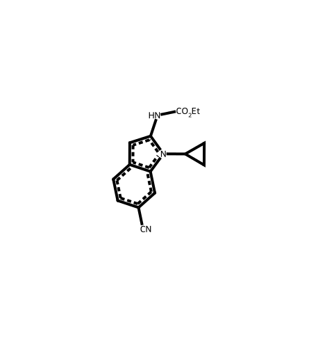 CCOC(=O)Nc1cc2ccc(C#N)cc2n1C1CC1